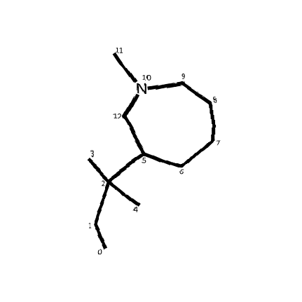 CCC(C)(C)C1CCCCN(C)C1